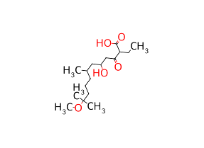 CCC(C(=O)O)C(=O)CC(O)CC(C)CCCC(C)(C)OC